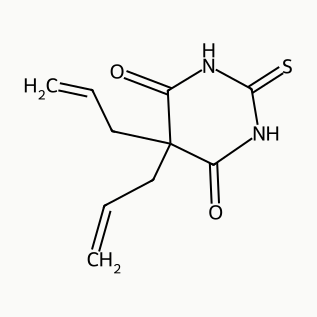 C=CCC1(CC=C)C(=O)NC(=S)NC1=O